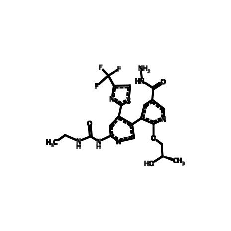 CCNC(=O)Nc1cc(-c2nc(C(F)(F)F)cs2)c(-c2cc(C(=O)NN)cnc2OC[C@@H](C)O)cn1